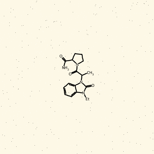 CCn1c(=O)n(C(C)C(=O)N2CCCC2C(N)=O)c2ccccc21